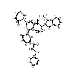 Cn1c(C(=O)Nc2nc(-c3ccccc3O)cc(-c3cccc(C(=O)NCc4ccccn4)c3)c2C#N)cc2ccccc21